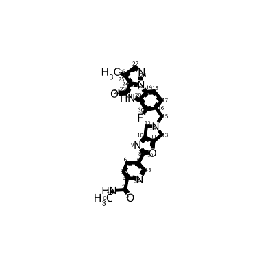 CNC(=O)c1ccc(-c2nc3c(o2)CN(Cc2ccc4c([nH]c(=O)c5c(C)cnn54)c2F)C3)cn1